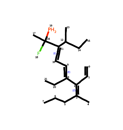 C=CC(=C(\C)CCC)/C(=C/C=C(\C(C)CC)C(C)(F)P)CC